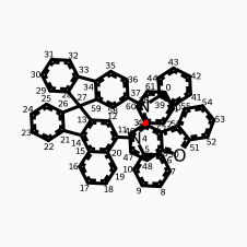 c1ccc(N(c2ccccc2)c2cc3c(c4ccccc24)-c2ccccc2C32c3ccccc3-c3ccc(N(c4ccccc4)c4cccc5oc6ccccc6c45)cc32)cc1